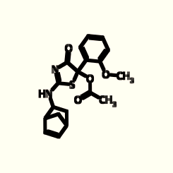 COc1ccccc1C1(OC(C)=O)SC(NC2CC3C=CC2C3)=NC1=O